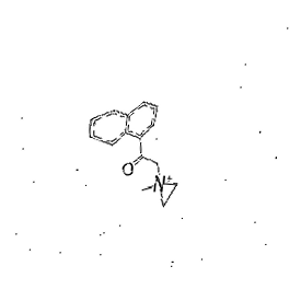 C[N+]1(CC(=O)c2cccc3ccccc23)CC1